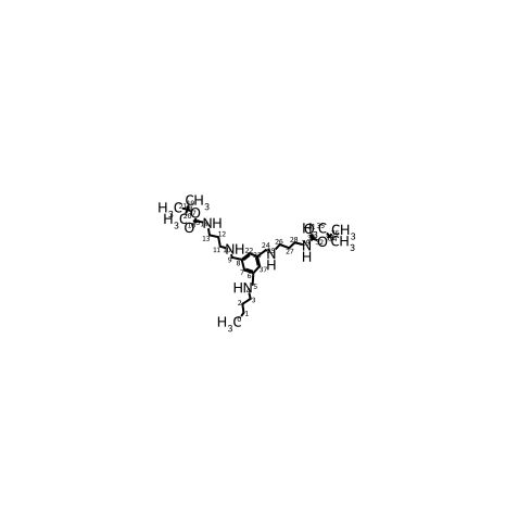 CCCCNCc1cc(CNCCCNC(=O)OC(C)(C)C)cc(CNCCCNC(=O)OC(C)(C)C)c1